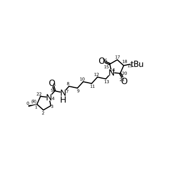 C[C@@H]1CCN(C(=O)NCCCCCCN2C(=O)CC(C(C)(C)C)C2=O)C1